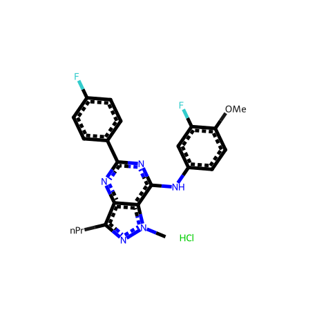 CCCc1nn(C)c2c(Nc3ccc(OC)c(F)c3)nc(-c3ccc(F)cc3)nc12.Cl